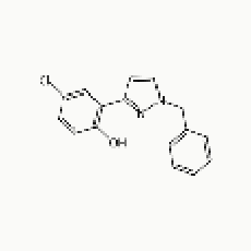 Oc1ccc(Cl)cc1-c1ccn(Cc2ccccc2)n1